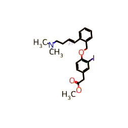 COC(=O)Cc1ccc(OCc2ccccc2/C=C/CCN(C)C)c(I)c1